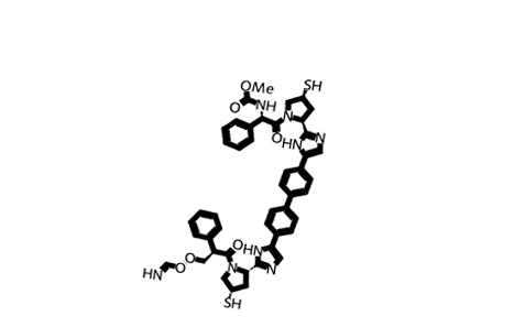 COC(=O)N[C@H](C(=O)N1C[C@@H](S)C[C@H]1c1ncc(-c2ccc(-c3ccc(-c4cnc([C@@H]5C[C@H](S)CN5C(=O)[C@@H](COOC=N)c5ccccc5)[nH]4)cc3)cc2)[nH]1)c1ccccc1